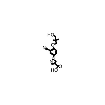 CC(C)(CO)COc1ccc(-n2cc(C(=O)O)cn2)cc1C#N